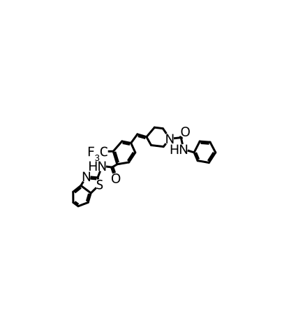 O=C(Nc1nc2ccccc2s1)c1ccc(C=C2CCN(C(=O)Nc3ccccc3)CC2)cc1C(F)(F)F